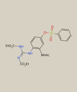 CCOC(=O)/N=C(/NC(=O)OCC)Nc1ccc(OS(=O)(=O)c2ccccc2)cc1NC(C)=O